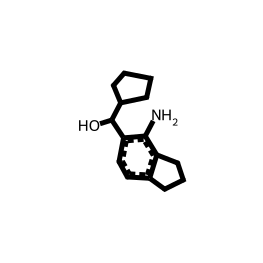 Nc1c(C(O)C2CCCC2)ccc2c1CCC2